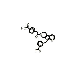 O=C(CC12CCC(C(=O)O)(CC1)C2)N1CCc2c(n(Cc3cccc(C(F)F)c3)c3ncccc23)C1